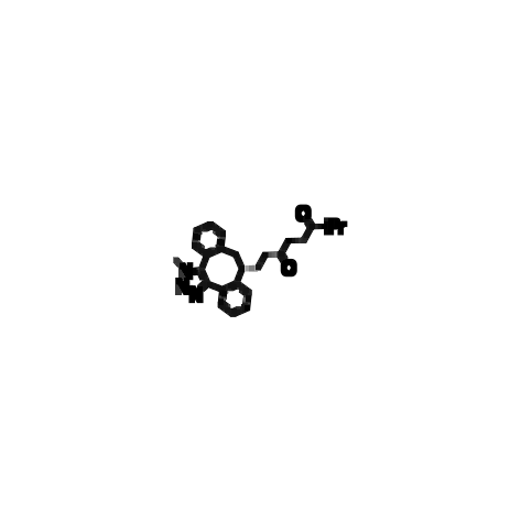 CC(C)C(=O)CCC(=O)CC[C@H]1Cc2ccccc2-c2c(nnn2C)-c2ccccc21